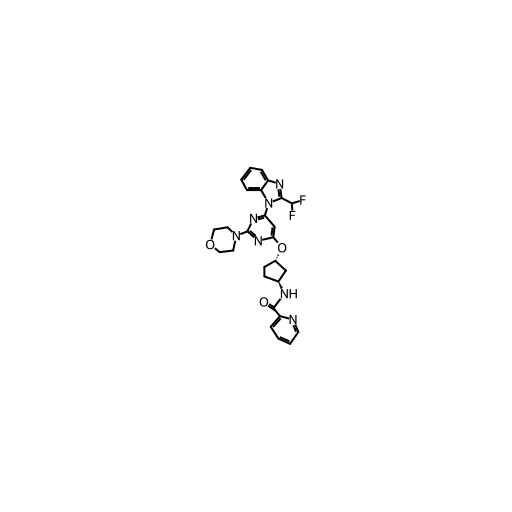 O=C(N[C@H]1CC[C@H](Oc2cc(-n3c(C(F)F)nc4ccccc43)nc(N3CCOCC3)n2)C1)c1ccccn1